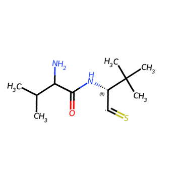 CC(C)C(N)C(=O)N[C@@H]([C]=S)C(C)(C)C